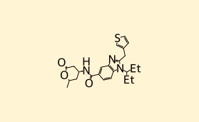 CCC(CC)n1c(Cc2ccsc2)nc2cc(C(=O)N[C@@H]3CC(=O)OC(C)C3)ccc21